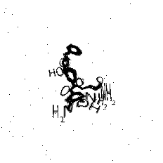 NC(=O)CCCc1oc2cc(OCCc3ccccc3)c(O)cc2c1C(=O)c1cc(N)c(O)c(N)c1